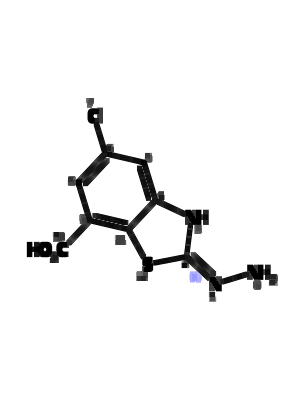 N/N=c1\[nH]c2cc(Cl)cc(C(=O)O)c2s1